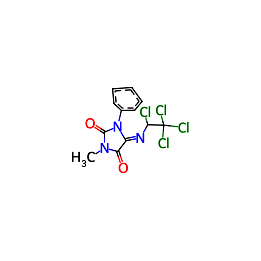 CN1C(=O)/C(=N/C(Cl)C(Cl)(Cl)Cl)N(c2ccccc2)C1=O